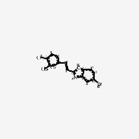 Clc1ccc(C=Cc2nc3cc(Br)ccc3o2)cc1Cl